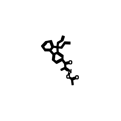 C=CCC1(CC=C)c2ccccc2-c2ccc(C(=O)/C(C)=N/OC(C)=O)cc21